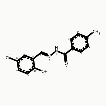 Cc1ccc(C(=O)N/N=C/c2cc(Cl)ccc2O)cc1